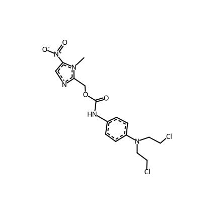 Cn1c([N+](=O)[O-])cnc1COC(=O)Nc1ccc(N(CCCl)CCCl)cc1